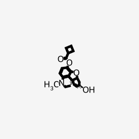 CN1CC[C@@]23C=C[C@H](O)CC2Oc2c(OC(=O)C4CCC4)ccc1c23